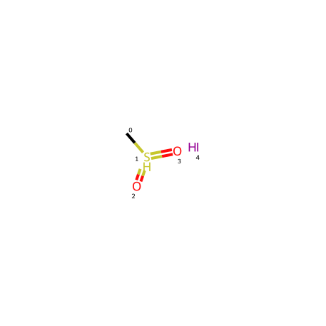 C[SH](=O)=O.I